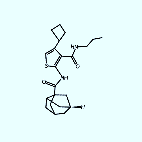 CCCNC(=O)c1c(C2CCC2)csc1NC(=O)C12CC3CC1C[C@@H](C3)C2